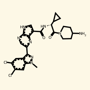 Cn1nc(-c2cnc3[nH]cc(C(=O)N[C@@H](C(=O)N4CCC(N)CC4)C4CC4)c3n2)c2cc(Cl)c(Cl)cc21